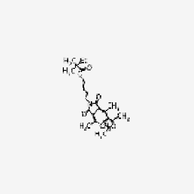 CCC(C)(C)C(=O)OCCCCN1C(=O)C(=C(C)C)/C(=C(/C)c2cc(C)oc2C)C1=O